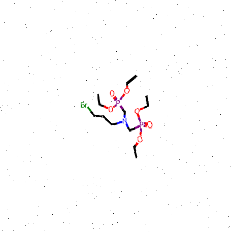 CCOP(=O)(CN(CCCBr)CP(=O)(OCC)OCC)OCC